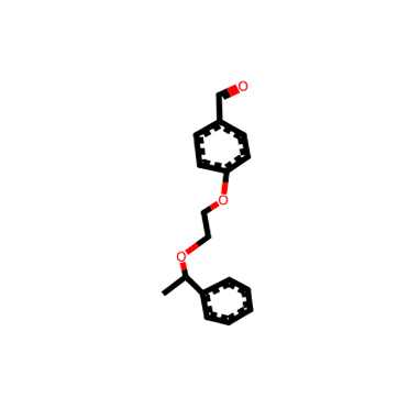 CC(OCCOc1ccc(C=O)cc1)c1ccccc1